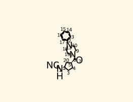 N#CN[C@H]1CC[C@H](C(=O)N2CCN(c3ccccc3)CC2)C1